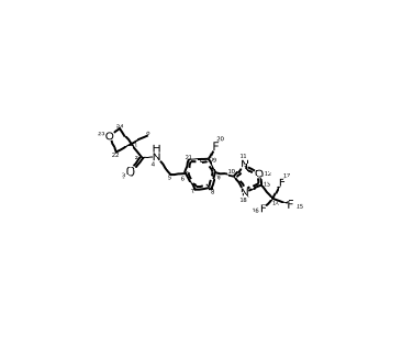 CC1(C(=O)NCc2ccc(-c3noc(C(F)(F)F)n3)c(F)c2)COC1